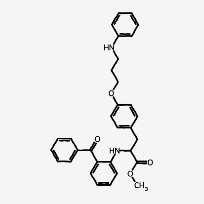 COC(=O)C(Cc1ccc(OCCCNc2ccccc2)cc1)Nc1ccccc1C(=O)c1ccccc1